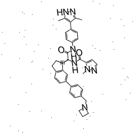 Cc1n[nH]c(C)c1-c1ccc(NC(=O)C(NC(=O)c2ccnn2C)[C@@H]2CCc3ccc(-c4ccc(CN5CCC5)cc4)cc32)cc1